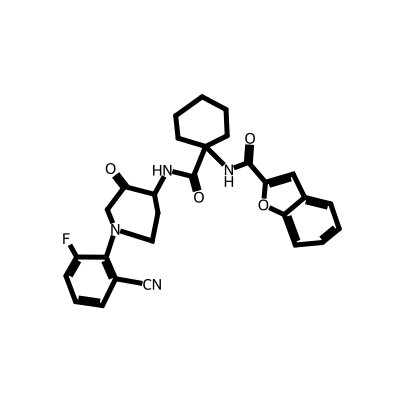 N#Cc1cccc(F)c1N1CCC(NC(=O)C2(NC(=O)c3cc4ccccc4o3)CCCCC2)C(=O)C1